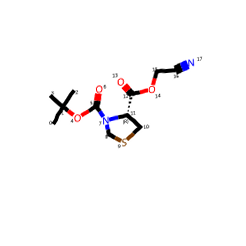 CC(C)(C)OC(=O)N1CSC[C@H]1C(=O)OCC#N